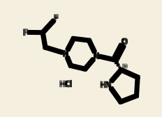 Cl.O=C([C@@H]1CCCN1)N1CCN(CC(F)F)CC1